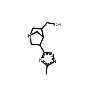 Cc1noc(C2CN3CC(CO)C2C3)n1